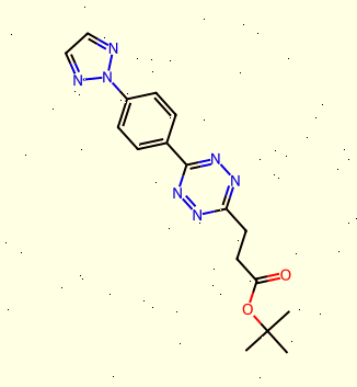 CC(C)(C)OC(=O)CCc1nnc(-c2ccc(-n3nccn3)cc2)nn1